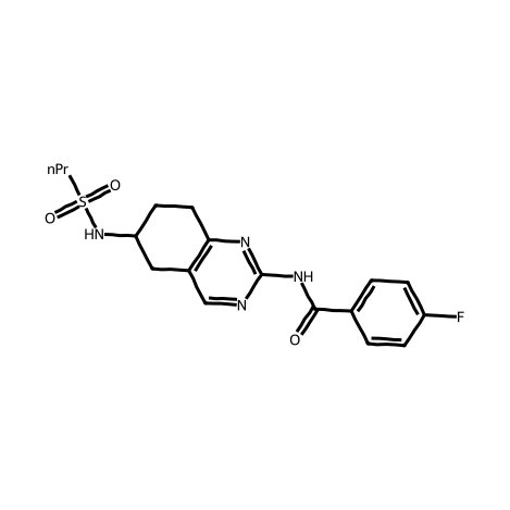 CCCS(=O)(=O)NC1CCc2nc(NC(=O)c3ccc(F)cc3)ncc2C1